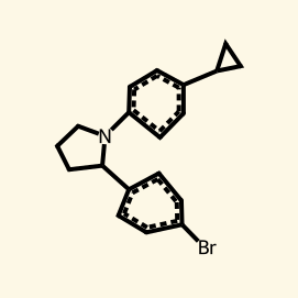 Brc1ccc(C2CCCN2c2ccc(C3CC3)cc2)cc1